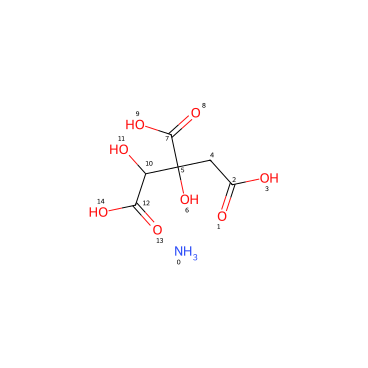 N.O=C(O)CC(O)(C(=O)O)C(O)C(=O)O